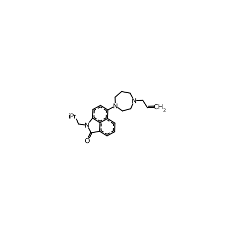 C=CCN1CCCN(c2ccc3c4c(cccc24)C(=O)N3CC(C)C)CC1